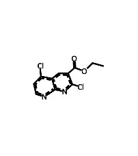 CCOC(=O)c1cc2c(Cl)ccnc2nc1Cl